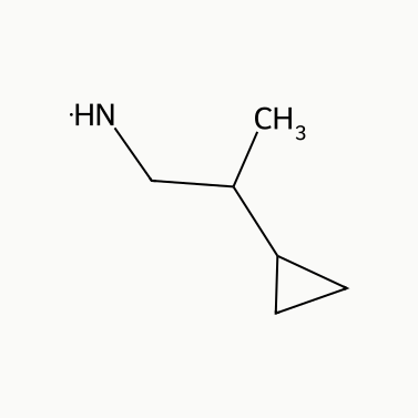 CC(C[NH])C1CC1